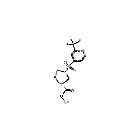 COC(=O)[C@@H]1CCCN(S(=O)(=O)c2cccc(C(F)(F)F)c2)C1